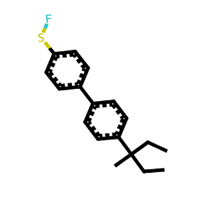 CCC(C)(CC)c1ccc(-c2ccc(SF)cc2)cc1